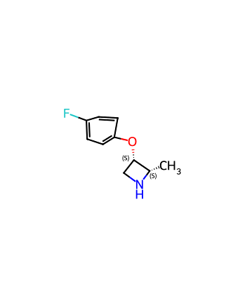 C[C@@H]1NC[C@@H]1Oc1ccc(F)cc1